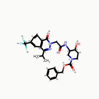 CC(C)c1nn(CC(=O)NC2CN(C(=O)OCc3ccccc3)CCC2O)c(=O)c2ccc(C(F)(F)F)cc12